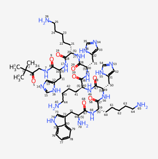 CC(C)(C)C(=O)CNC(=O)[C@H](Cc1cnc[nH]1)NC(=O)[C@H](CCCCCN)NC(=O)[C@H](Cc1cnc[nH]1)NC(=O)[C@H](CCCCN)NC(=O)[C@H](Cc1cnc[nH]1)NC(=O)[C@H](CCCCCN)NC(=O)[C@@H](N)Cc1c[nH]c2ccccc12